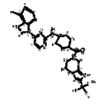 Cc1cccc2c1nnn2-c1ccnc(NC2CCC(C(=O)N3CCn4cc(C(F)(F)F)nc4C3)CC2)n1